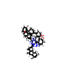 c1ccc(-c2ccc(-c3ccc4oc5cccc(C6=NC(c7ccc8ccccc8c7)=NC(c7ccc8ccc9ccccc9c8c7)N6)c5c4c3)cc2)cc1